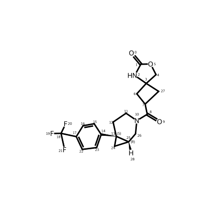 O=C1NC2(CO1)CC(C(=O)N1CC[C@@]3(c4ccc(C(F)(F)F)cc4)C[C@H]3C1)C2